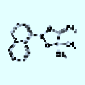 C=C1OB(c2cccc3ccccc23)OC1(C)C